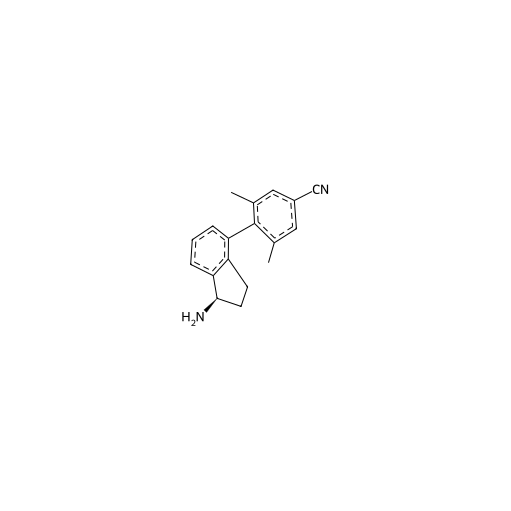 Cc1cc(C#N)cc(C)c1-c1cccc2c1CC[C@H]2N